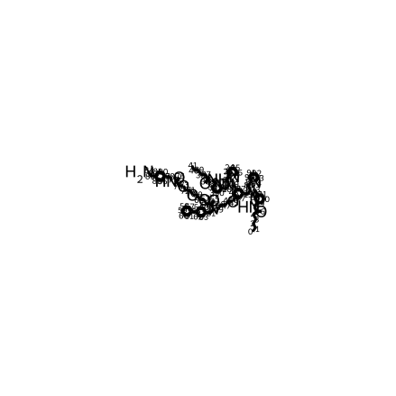 CCCCCC(=O)Nc1cccc(CN(Cc2cc(CN(Cc3ccccn3)Cc3cccc(NC(=O)CCCCC)n3)cc(OCCCCN(Cc3ccc(-c4ccccc4)cc3)C(=O)COCCOCCOCC(=O)NCc3ccc(CN)cc3)c2)Cc2ccccn2)n1